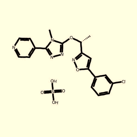 C[C@@H](Oc1nnc(-c2ccncc2)n1C)c1cc(-c2cccc(Cl)c2)on1.O=S(=O)(O)O